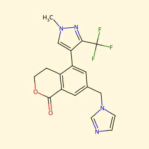 Cn1cc(-c2cc(Cn3ccnc3)cc3c2CCOC3=O)c(C(F)(F)F)n1